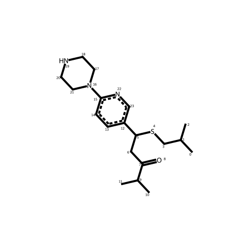 CC(C)CSC(CC(=O)C(C)C)c1ccc(N2CCNCC2)nc1